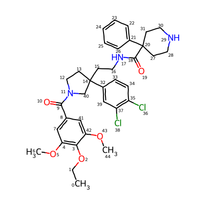 CCOc1c(OC)cc(C(=O)N2CCC(CCNC(=O)C3(c4ccccc4)CCNCC3)(c3ccc(Cl)c(Cl)c3)C2)cc1OC